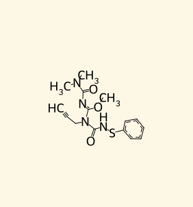 C#CCN(C(=O)NSc1ccccc1)C(=NC(=O)N(C)C)OC